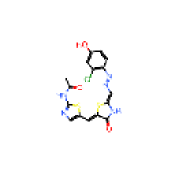 CC(=O)Nc1ncc(C=c2sc(=CN=Nc3ccc(O)cc3Cl)[nH]c2=O)s1